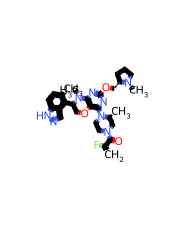 C=C(F)C(=O)N1CCN(c2nc(OC[C@@H]3CCCN3C)nc3c2OCC(c2c(C)ccc4[nH]ncc24)N3C)[C@@H](C)C1